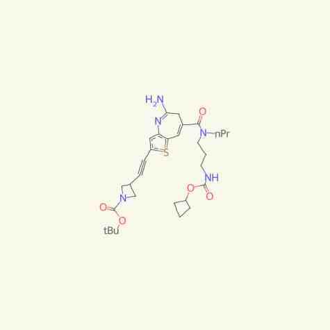 CCCN(CCCNC(=O)OC1CCC1)C(=O)C1=Cc2sc(C#CC3CN(C(=O)OC(C)(C)C)C3)cc2N=C(N)C1